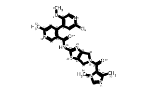 COc1cnc(Cl)cc1-c1cc(C)ncc1C(=O)Nc1nc2c(s1)CN(C(=O)c1c(C)ncn1C)C2